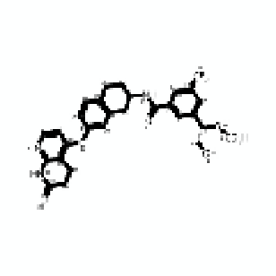 O=C(O)N[C@H](CO)c1cc(C(=O)N[C@@H]2CCc3ccc(Oc4ccnc5c4CCC(=O)N5)cc3C2)cc(C(F)(F)F)c1